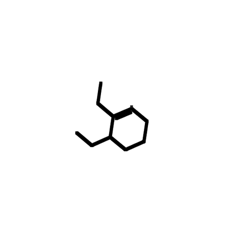 CCC1=[C]CCCC1CC